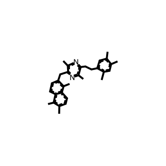 Cc1cc(C)c(CCc2nc(C)c(Cc3ccc4c(C)c(C)ccc4c3C)nc2C)cc1C